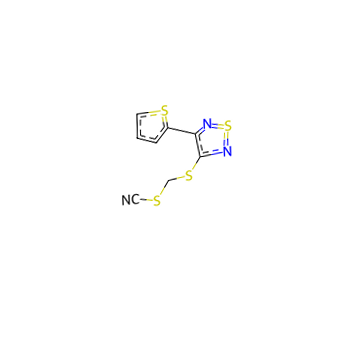 N#CSCSc1nsnc1-c1cccs1